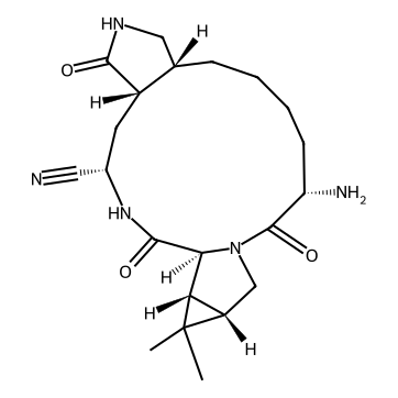 CC1(C)[C@@H]2[C@H]3C(=O)N[C@H](C#N)C[C@@H]4C(=O)NC[C@@H]4CCCC[C@H](N)C(=O)N3C[C@@H]21